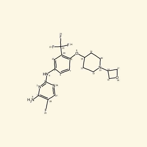 Nc1nc(Nc2ccc(OC3CCN(C4COC4)CC3)c(C(F)(F)F)c2)ncc1F